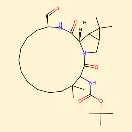 CC(C)(C)OC(=O)NC1C(=O)N2CC3[C@@H]([C@H]2C(=O)N[C@H](C=O)CCCCCCCCCC1(C)C)C3(C)C